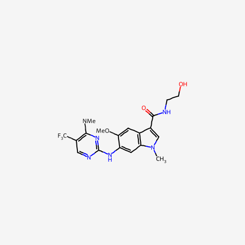 CNc1nc(Nc2cc3c(cc2OC)c(C(=O)NCCO)cn3C)ncc1C(F)(F)F